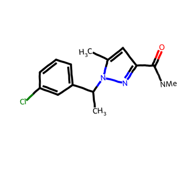 CNC(=O)c1cc(C)n(C(C)c2cccc(Cl)c2)n1